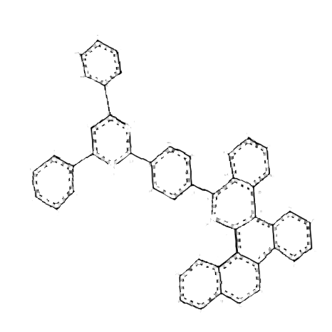 c1ccc(-c2cc(-c3ccccc3)nc(-c3ccc(-c4nc5c6c7ccccc7ccc6c6ccccc6c5c5ccccc45)cc3)n2)cc1